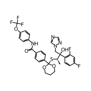 C[C@@H](SC1(c2ccc(C(=O)Nc3ccc(OC(F)(F)F)cc3)cc2)OCCCO1)[C@](O)(Cn1cncn1)c1ccc(F)cc1F